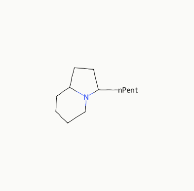 CCCCCC1CCC2CCCCN12